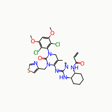 C=CC(=O)N[C@H]1CCCC[C@H]1N/C(N=C)=N/C1=C(C)CN(c2c(Cl)c(OC)cc(OC)c2Cl)C(=O)N1Cc1cscn1